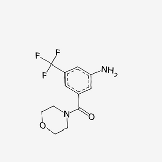 Nc1cc(C(=O)N2CCOCC2)cc(C(F)(F)F)c1